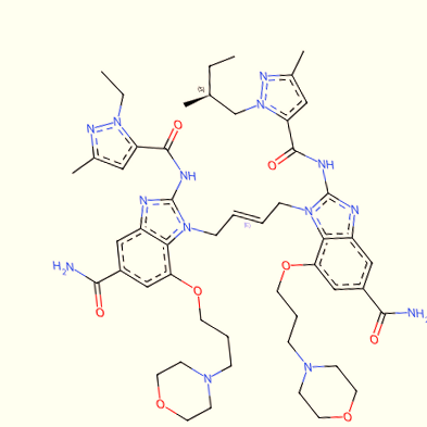 CC[C@H](C)Cn1nc(C)cc1C(=O)Nc1nc2cc(C(N)=O)cc(OCCCN3CCOCC3)c2n1C/C=C/Cn1c(NC(=O)c2cc(C)nn2CC)nc2cc(C(N)=O)cc(OCCCN3CCOCC3)c21